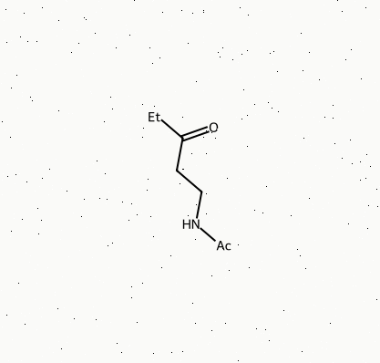 CCC(=O)CCNC(C)=O